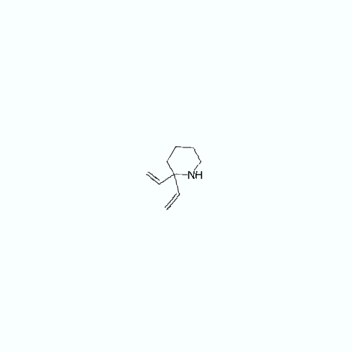 C=CC1(C=C)CCCCN1